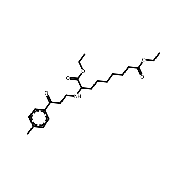 CCOC(=O)CCCCCCC(NCCC(=O)c1ccc(C)cc1)C(=O)OCC